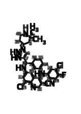 CC1(C)C[C@@H](N2C=C([C@H](Nc3cc(Cl)c4ncc(C#N)c(Nc5ccc(F)c(Cl)c5)c4c3)c3ccccc3)NN2)CCN1